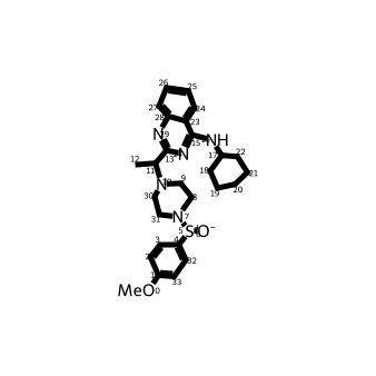 COc1ccc([S+]([O-])N2CCN(C(C)c3nc(NC4CCCCC4)c4ccccc4n3)CC2)cc1